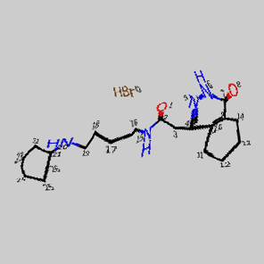 Br.O=C(Cc1n[nH]c(=O)c2c1CCCC2)NCCCCNC1CCCCC1